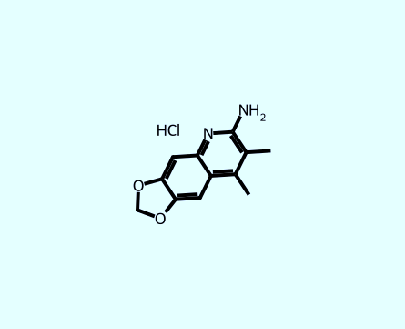 Cc1c(N)nc2cc3c(cc2c1C)OCO3.Cl